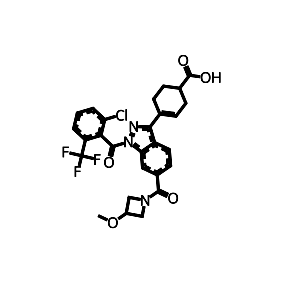 COC1CN(C(=O)c2ccc3c(C4=CCC(C(=O)O)CC4)nn(C(=O)c4c(Cl)cccc4C(F)(F)F)c3c2)C1